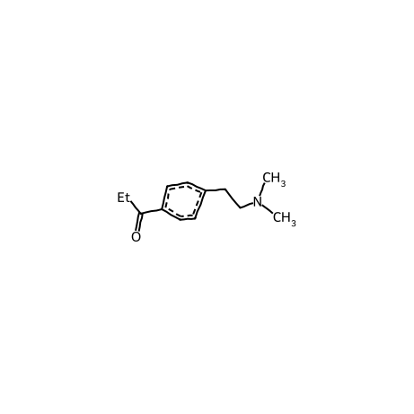 CCC(=O)c1ccc(CCN(C)C)cc1